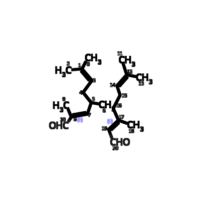 CC(C)=CCC(C)/C=C(\C)C=O.CC(C)=CCC/C(C)=C/C=O